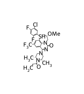 C=CC(=O)N1[C@H](C)CN(c2nc(=O)n3c4c(cc(C(F)(F)F)cc24)[SH](c2cc(Cl)c(F)cc2F)C[C@H](OC)C3)C[C@@H]1C